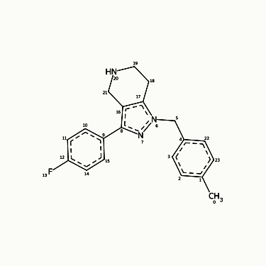 Cc1ccc(Cn2nc(-c3ccc(F)cc3)c3c2CCNC3)cc1